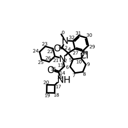 CN1C(=O)C(C2CCCCC2Cl)(N(CC(=O)NC2CCC2)C2CCCCC2)c2ccccc21